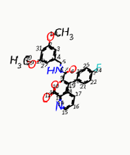 COc1cc(CNC(=O)c2oc(=O)c3ncccc3c2-c2ccc(F)cc2)cc(OC)c1